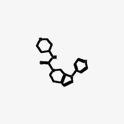 O=C(NC1CCOCC1)N1CCc2ccn(-c3ccncc3)c2C1